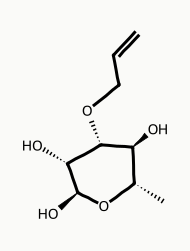 C=CCO[C@@H]1[C@@H](O)[C@H](C)O[C@@H](O)[C@@H]1O